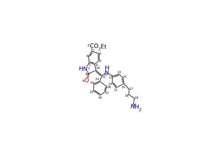 CCOC(=O)c1ccc2c(c1)NC(=O)C2=C(Nc1ccc(CCCN)cc1)c1ccccc1